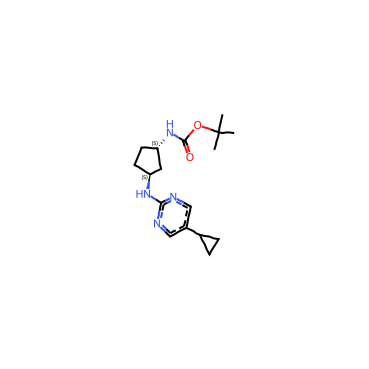 CC(C)(C)OC(=O)N[C@H]1CC[C@H](Nc2ncc(C3CC3)cn2)C1